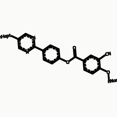 CCCCCCCCCOc1ccc(C(=O)Oc2ccc(-c3ncc(CCCCCCC)cn3)cc2)cc1C#N